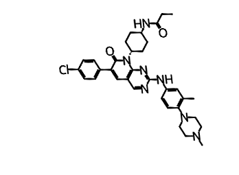 CCC(=O)N[C@H]1CC[C@H](n2c(=O)c(-c3ccc(Cl)cc3)cc3cnc(Nc4ccc(N5CCN(C)CC5)c(C)c4)nc32)CC1